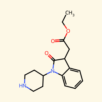 CCOC(=O)CC1C(=O)N(C2CCNCC2)c2ccccc21